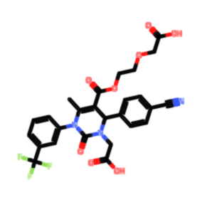 CC1=C(C(=O)OCCOCC(=O)O)C(c2ccc(C#N)cc2)N(CC(=O)O)C(=O)N1c1cccc(C(F)(F)F)c1